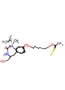 CC(=S)OCCCCCOc1ccc2c(c1)N(C)[C@@H](C(C)C)C(=O)NC(CO)C2